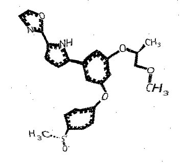 COC[C@H](C)Oc1cc(Oc2ccc([S@@+](C)[O-])cc2)cc(-c2ccc(-c3ncco3)[nH]2)c1